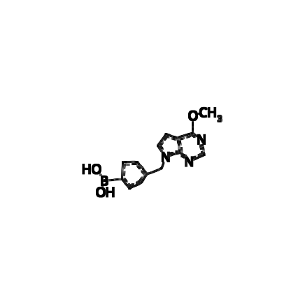 COc1ncnc2c1ccn2Cc1ccc(B(O)O)cc1